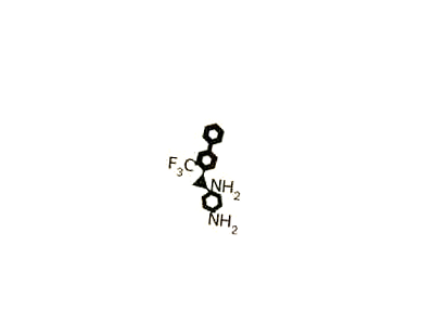 NC1CCC(N)([C@H]2C[C@H]2c2ccc(-c3ccccc3)cc2C(F)(F)F)CC1